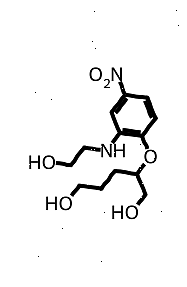 O=[N+]([O-])c1ccc(OC(CO)CCCO)c(NCCO)c1